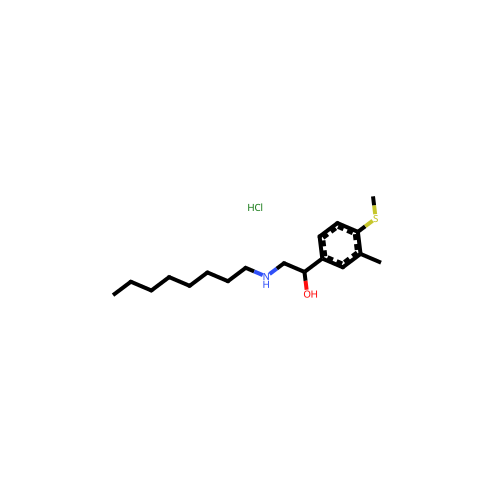 CCCCCCCCNCC(O)c1ccc(SC)c(C)c1.Cl